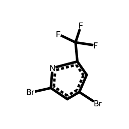 FC(F)(F)c1cc(Br)cc(Br)n1